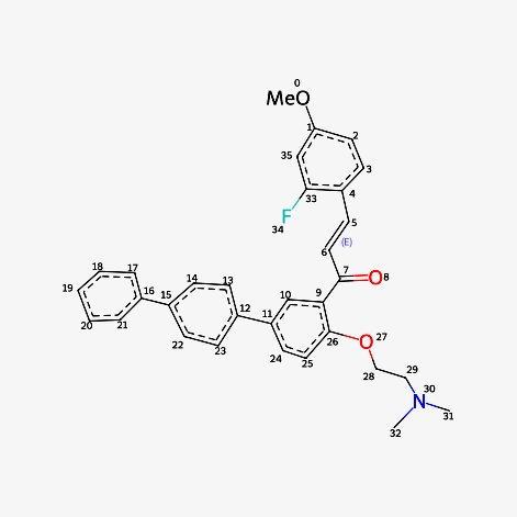 COc1ccc(/C=C/C(=O)c2cc(-c3ccc(-c4ccccc4)cc3)ccc2OCCN(C)C)c(F)c1